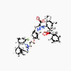 COC(=O)[C@H](Cc1ccc(OCCN(Cc2ccccc2)c2ccccc2F)cc1)Nc1ccccc1C(=O)c1ccccc1